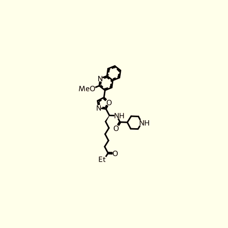 CCC(=O)CCCCC[C@H](NC(=O)C1CCNCC1)c1ncc(-c2cc3ccccc3nc2OC)o1